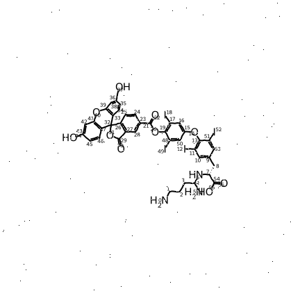 NCCCC(N)N[C@H](Cc1cc(I)c(Oc2cc(I)c(OC(=O)c3ccc4c(c3)C(=O)OC43c4ccc(O)cc4Oc4cc(O)ccc43)c(I)c2)c(I)c1)C(=O)O